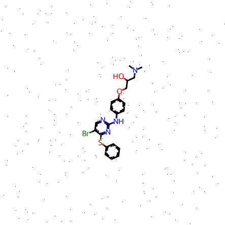 CN(C)CC(O)COc1ccc(Nc2ncc(Br)c(Sc3ccccc3)n2)cc1